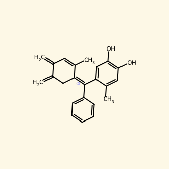 C=C1C=C(C)/C(=C(/c2ccccc2)c2cc(O)c(O)cc2C)CC1=C